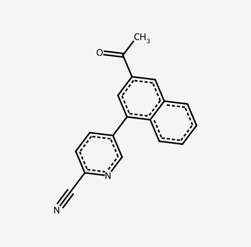 CC(=O)c1cc(-c2ccc(C#N)nc2)c2ccccc2c1